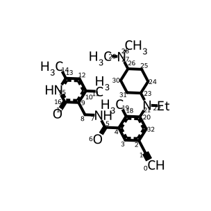 C#Cc1cc(C(=O)NCc2c(C)cc(C)[nH]c2=O)c(C)c(N(CC)C2CCC(N(C)C)CC2)c1